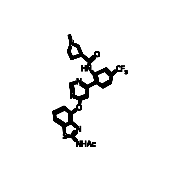 CC(=O)Nc1nc2c(Oc3cc(-c4ccc(C(F)(F)F)cc4NC(=O)C4CCN(C)C4)ncn3)cccc2s1